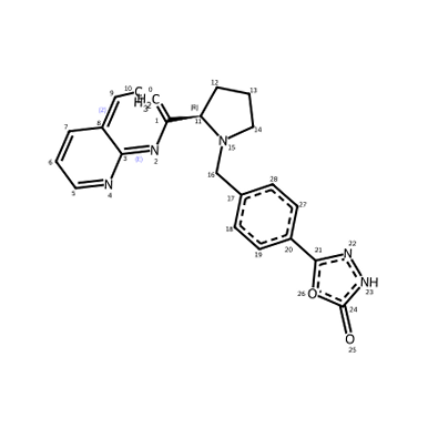 C=C(/N=C1/N=CC=C/C1=C/C)[C@H]1CCCN1Cc1ccc(-c2n[nH]c(=O)o2)cc1